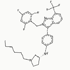 CCCCCCN1CC[C@@H](Nc2ccc(-c3c4cccc(C(F)(F)F)c4nn3Cc3c(F)cc(F)cc3F)cc2)C1